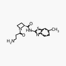 Cc1ccc2nc(NC(=O)[C@@H]3CCN3C(=O)CCN)sc2c1